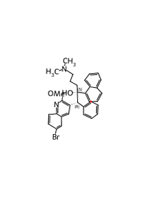 COc1nc2ccc(Br)cc2cc1[C@@H](c1ccccc1)[C@@](O)(CCCN(C)C)c1cccc2ccccc12